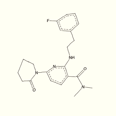 CN(C)C(=O)c1ccc(N2CCCCC2=O)nc1NCCc1cccc(F)c1